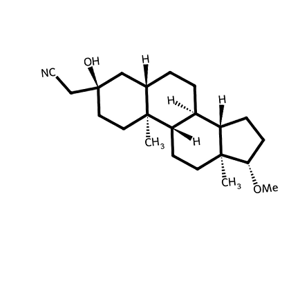 CO[C@H]1CC[C@H]2[C@@H]3CC[C@H]4C[C@@](O)(CC#N)CC[C@]4(C)[C@H]3CC[C@]12C